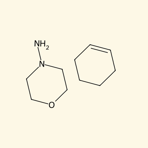 C1=CCCCC1.NN1CCOCC1